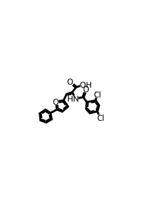 O=C(O)/C(=C/c1ccc(-c2ccccc2)o1)NC(=O)c1ccc(Cl)cc1Cl